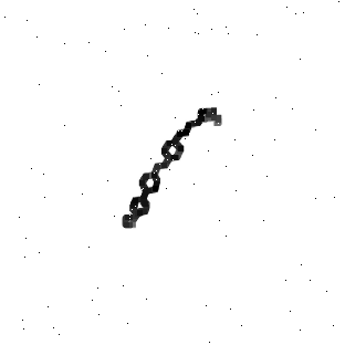 CCCC=CC1CCC(CCC2CCC(c3ccc(Cl)cc3)CC2)CC1